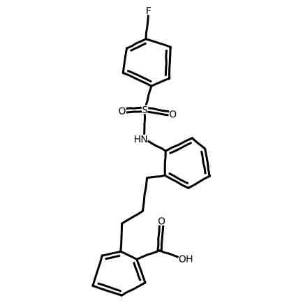 O=C(O)c1ccccc1CCCc1ccccc1NS(=O)(=O)c1ccc(F)cc1